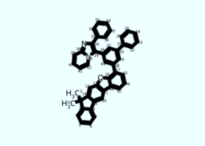 CC1(C)c2ccccc2-c2cc3c(cc21)oc1c(-c2cc(-c4ccccc4)cc(-c4c(-c5ccccc5)nc5ccccn45)c2)cccc13